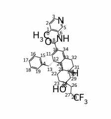 Cc1ccncc1NC(=O)C1=C[C@@H](Cc2ccccc2)C2=C3CC[C@@](O)(CCC(F)(F)F)C[C@H]3CCC2=C1